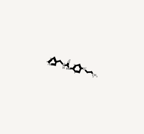 CCCOc1ccc(NC(=O)NCc2cccnc2)cc1